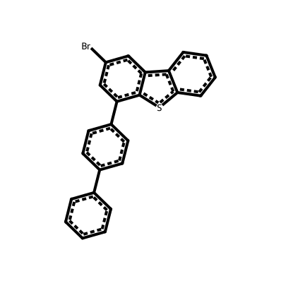 Brc1cc(-c2ccc(-c3ccccc3)cc2)c2sc3ccccc3c2c1